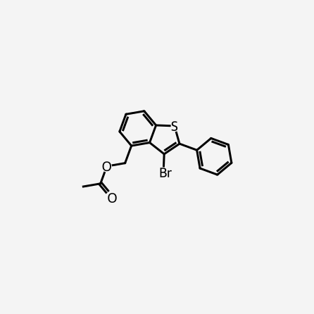 CC(=O)OCc1cccc2sc(-c3ccccc3)c(Br)c12